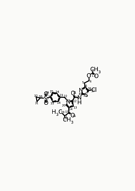 CC(=O)OCCc1nc(NC(=O)c2cc(C(=O)C(C)C)cn2Cc2ccc(S(=O)(=O)C3CC3)cc2)sc1Cl